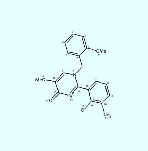 COc1ccccc1Cn1cc(OC)c(=O)nc1-c1cccc(C(F)(F)F)c1Cl